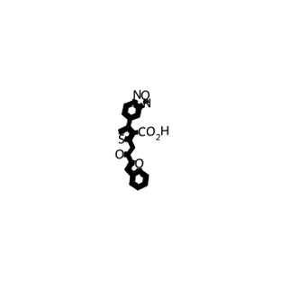 O=C(Cc1scc(-c2ccc3nonc3c2)c1C(=O)O)c1cc2ccccc2o1